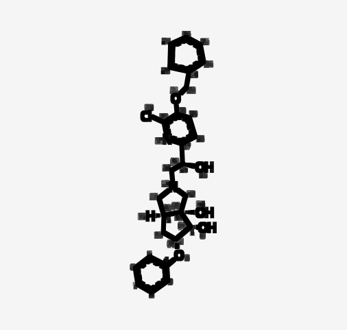 O[C@@H]1[C@H](Oc2ccccc2)C[C@H]2CN(C[C@H](O)c3ccc(OCc4ccccc4)c(Cl)n3)C[C@]21O